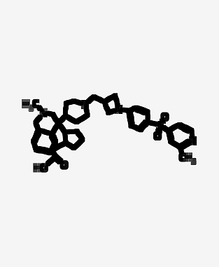 Cc1cc(S(=O)(=O)c2ccc(N3CC(CN4CCC(C5(C6CCCC6CC(=O)O)CN(C)Cc6ccccc65)CC4)C3)cc2)ccn1